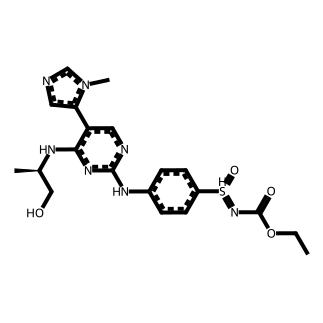 CCOC(=O)/N=[SH](=O)/c1ccc(Nc2ncc(-c3cncn3C)c(N[C@H](C)CO)n2)cc1